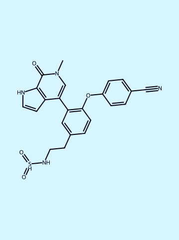 Cn1cc(-c2cc(CCN[SH](=O)=O)ccc2Oc2ccc(C#N)cc2)c2cc[nH]c2c1=O